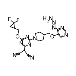 N#CC(C#N)c1nc(OCC2CC2(F)F)nc(N2CCC(COc3cncnc3N=NN)CC2)n1